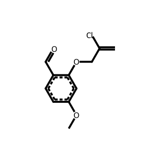 C=C(Cl)COc1cc(OC)ccc1C=O